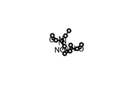 N#Cc1cc(-c2nc(-c3ccc(-c4ccccc4)cc3)nc(-c3ccc4oc5ccccc5c4c3)n2)ccc1-n1c2ccccc2c2ccc3c(c4ccccc4n3-c3ccc4oc5ccccc5c4c3)c21